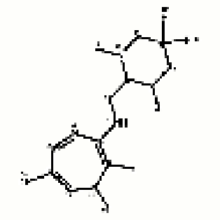 CC1=C(NCC2C(C)CC(F)(F)CN2C)N=CC(Cl)=CC1C